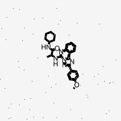 COc1ccc(-c2nc3c4ccccc4nc(NC(C)C(=O)NC4CCCCC4)n3n2)cc1